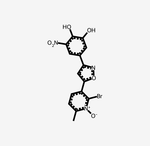 Cc1ccc(-c2cc(-c3cc(O)c(O)c([N+](=O)[O-])c3)no2)c(Br)[n+]1[O-]